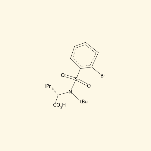 CC(C)[C@@H](C(=O)O)N(C(C)(C)C)S(=O)(=O)c1ccccc1Br